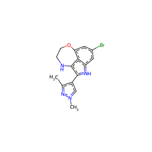 Cc1nn(C)cc1-c1[nH]c2cc(Br)cc3c2c1NCCO3